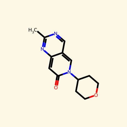 Cc1ncc2cn(C3CCOCC3)c(=O)cc2n1